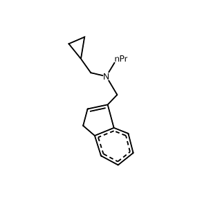 CCCN(CC1=CCc2ccccc21)CC1CC1